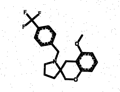 COc1cccc2c1CC1(CCCN1Cc1ccc(C(F)(F)F)cc1)CO2